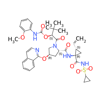 C=C[C@@H]1C[C@]1(NC(=O)[C@@H]1C[C@@H](Oc2nccc3ccccc23)CN1C(=O)[C@@H](OC(=O)Nc1ccccc1OC)C(C)(C)C)C(=O)NS(=O)(=O)C1CC1